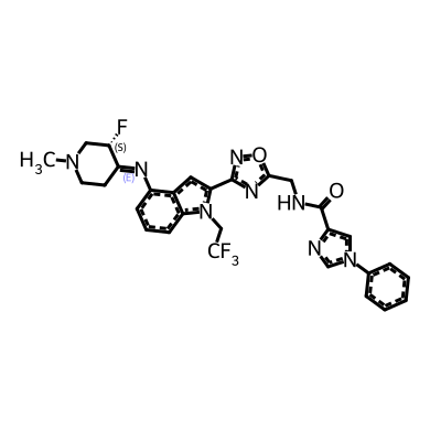 CN1CC/C(=N\c2cccc3c2cc(-c2noc(CNC(=O)c4cn(-c5ccccc5)cn4)n2)n3CC(F)(F)F)[C@@H](F)C1